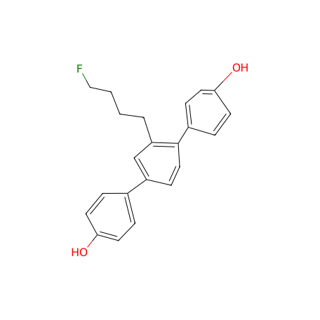 Oc1ccc(-c2ccc(-c3ccc(O)cc3)c(CCCCF)c2)cc1